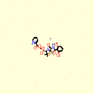 COc1cccc(OC)c1C(=O)N[C@H]1C(=O)N2[C@H]1SC(C)(C)[C@H]2C(=O)OCOC(=O)c1cccc[n+]1C.[I-]